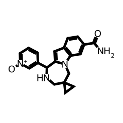 NC(=O)c1ccc2cc3n(c2c1)CC1(CC1)CNC3c1ccc[n+]([O-])c1